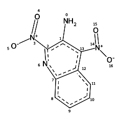 Nc1c([N+](=O)[O-])nc2ccccc2c1[N+](=O)[O-]